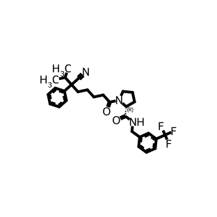 CC(C)C(C#N)(CCCCC(=O)N1CCC[C@@H]1C(=O)NCc1cccc(C(F)(F)F)c1)c1ccccc1